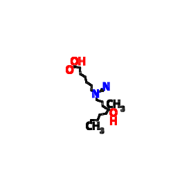 CCCCCC(C)(O)CCCN(C#N)CCCCCCC(=O)O